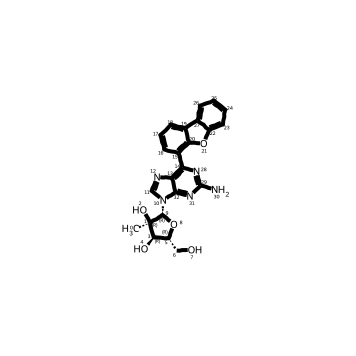 C[C@@]1(O)[C@H](O)[C@@H](CO)O[C@H]1n1cnc2c(-c3cccc4c3oc3ccccc34)nc(N)nc21